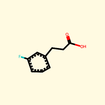 O=C(O)CCc1cc[c]c(F)c1